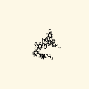 Cn1cc(-c2cc(Oc3ccc(NC(=O)c4cn(C)c(=O)n(-c5ccc(F)cc5)c4=O)cc3F)ccn2)cn1